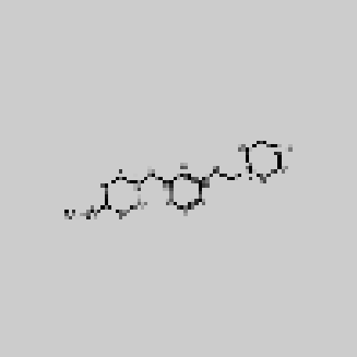 COC1CCN(Cc2cccc(CCN3CCOCC3)c2)CC1